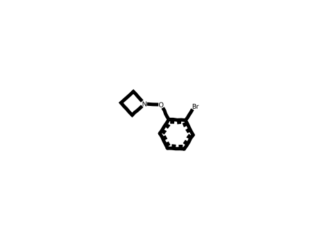 Brc1ccccc1ON1CCC1